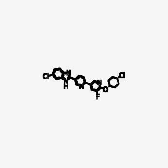 Fc1cc(-c2ccc(-c3nc4ccc(Cl)cc4[nH]3)cn2)cnc1O[C@H]1CC[C@@H](Cl)CC1